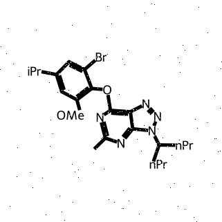 CCCC(CCC)n1nnc2c(Oc3c(Br)cc(C(C)C)cc3OC)nc(C)nc21